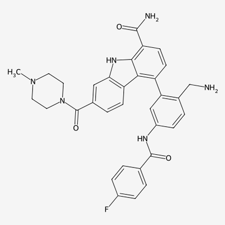 CN1CCN(C(=O)c2ccc3c(c2)[nH]c2c(C(N)=O)ccc(-c4cc(NC(=O)c5ccc(F)cc5)ccc4CN)c23)CC1